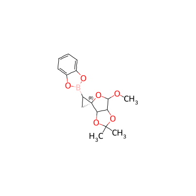 COC1O[C@@]2(CC2B2Oc3ccccc3O2)C2OC(C)(C)OC12